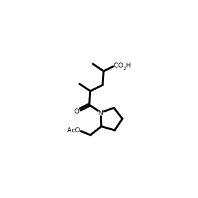 CC(=O)OCC1CCCN1C(=O)C(C)CC(C)C(=O)O